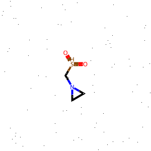 O=[SH](=O)CN1CC1